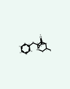 CC1CN2CCC1C(=O)C2Cc1ccccc1